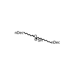 CCCCCCCCCCCCCCCCC=COC(=O)CC(S)CCCCCCCCCCCCCCCCCC